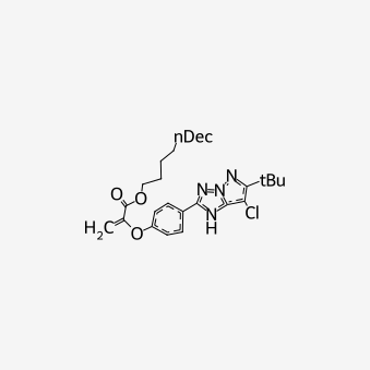 C=C(Oc1ccc(-c2nn3nc(C(C)(C)C)c(Cl)c3[nH]2)cc1)C(=O)OCCCCCCCCCCCCCC